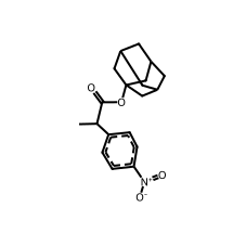 CC(C(=O)OC12CC3CC(CC(C3)C1)C2)c1ccc([N+](=O)[O-])cc1